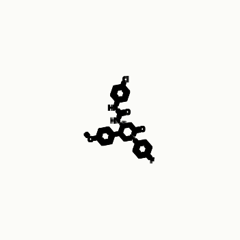 COc1ccc(C2CN(c3ccc(F)cc3)C(=O)C[C@H]2NC(=O)Nc2ccc(Cl)cc2)cc1